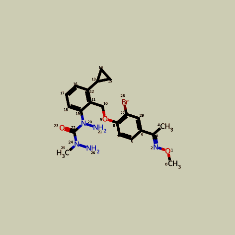 CO/N=C(\C)c1ccc(OCc2c(C3CC3)cccc2N(N)C(=O)N(C)N)c(Br)c1